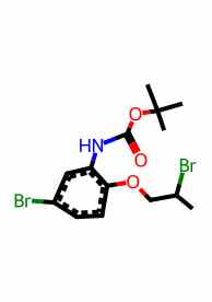 CC(Br)COc1ccc(Br)cc1NC(=O)OC(C)(C)C